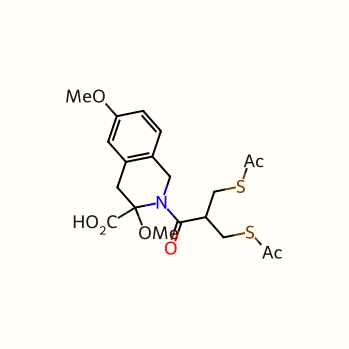 COc1ccc2c(c1)CC(OC)(C(=O)O)N(C(=O)C(CSC(C)=O)CSC(C)=O)C2